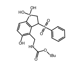 CC(C)(C)OC(=O)NCc1c(O)ccc2c1C(S(=O)(=O)c1ccccc1)CS2(O)O